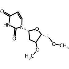 COC[C@H]1O[C@@H](n2ccc(=O)[nH]c2=O)CC1OC